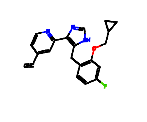 O=Cc1ccnc(-c2nc[nH]c2Cc2ccc(F)cc2OCC2CC2)c1